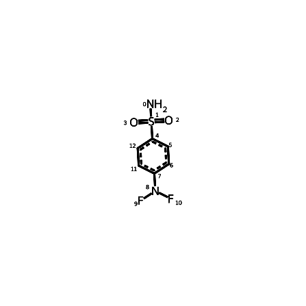 NS(=O)(=O)c1ccc(N(F)F)cc1